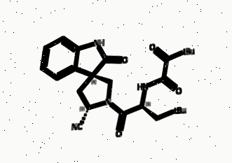 CC(C)(C)C[C@H](NC(=O)C(=O)C(C)(C)C)C(=O)N1C[C@]2(C[C@H]1C#N)C(=O)Nc1ccccc12